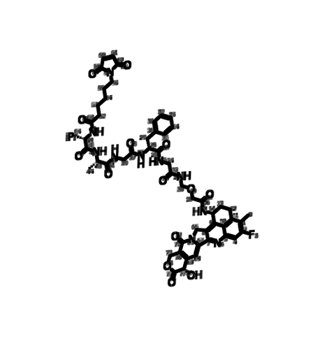 Cc1c(F)cc2nc3c(c4c2c1CC[C@@H]4NC(=O)COCNC(=O)CNC(=O)[C@H](Cc1ccccc1)NC(=O)CNC(=O)[C@H](C)NC(=O)[C@@H](NC(=O)CCCCCN1C(=O)C=CC1=O)C(C)C)Cn1c-3cc2c(c1=O)COC(=O)[C@H]2O